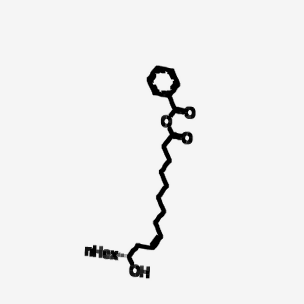 CCCCCC[C@@H](O)C/C=C\CCCCCCCC(=O)OC(=O)c1ccccc1